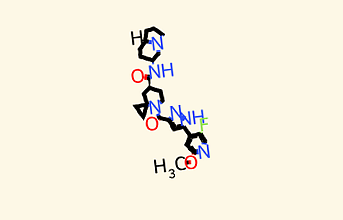 COc1cc(-c2cc(C(=O)N3CC[C@H](C(=O)N[C@@H]4CC[C@H]5CCCN5C4)CC34CC4)n[nH]2)c(F)cn1